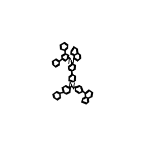 c1ccc(-c2ccc(N(c3ccc(-c4ccc(N(c5cc(-c6ccccc6)cc(-c6ccccc6)c5)c5cccc6ccccc56)cc4)cc3)c3ccc(-c4cccc5ccccc45)cc3)cc2)cc1